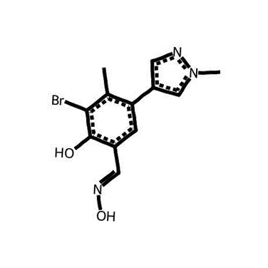 Cc1c(-c2cnn(C)c2)cc(/C=N/O)c(O)c1Br